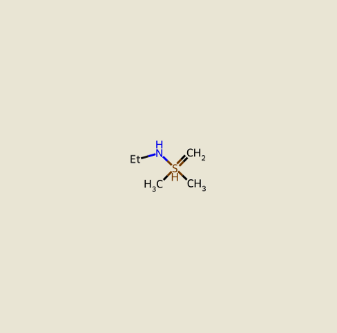 C=[SH](C)(C)NCC